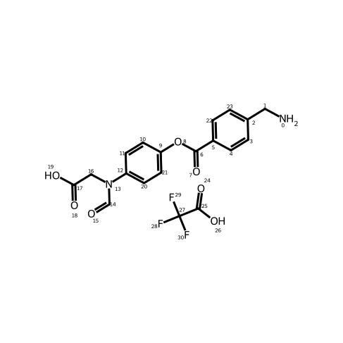 NCc1ccc(C(=O)Oc2ccc(N(C=O)CC(=O)O)cc2)cc1.O=C(O)C(F)(F)F